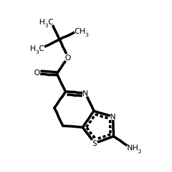 CC(C)(C)OC(=O)C1=Nc2nc(N)sc2CC1